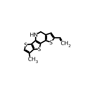 C=Cc1cc2c(s1)-c1sc3c(C)csc3c1NC2